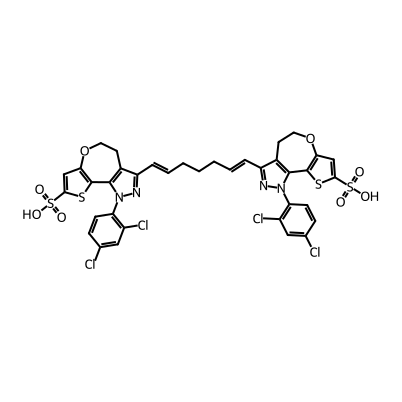 O=S(=O)(O)c1cc2c(s1)-c1c(c(/C=C/CCC/C=C/c3nn(-c4ccc(Cl)cc4Cl)c4c3CCOc3cc(S(=O)(=O)O)sc3-4)nn1-c1ccc(Cl)cc1Cl)CCO2